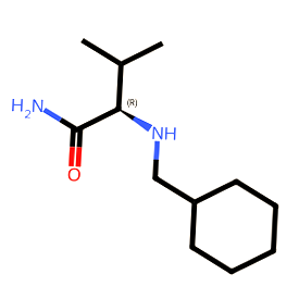 CC(C)[C@@H](NCC1CCCCC1)C(N)=O